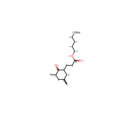 C=C1CC(C)C(=O)C(CCC(=O)OCCCCSC)C1